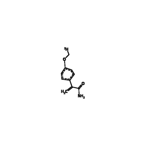 [2H]COc1ccc(C(=C)C(N)=O)cc1